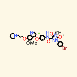 COc1cc2c(Oc3ccc(NC(=O)c4nn(-c5ccc(Br)cc5)c(=O)n(C)c4=O)cc3F)ccnc2cc1OCCCN1CCCCC1